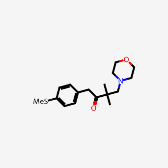 CSc1ccc(CC(=O)C(C)(C)CN2CCOCC2)cc1